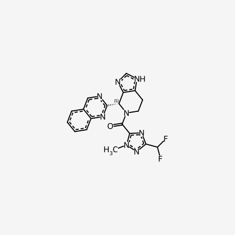 Cn1nc(C(F)F)nc1C(=O)N1CCc2[nH]cnc2[C@H]1c1ncc2ccccc2n1